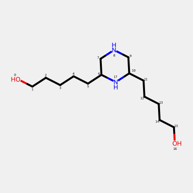 OCCCCCC1CNCC(CCCCCO)N1